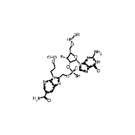 NC(=O)c1cnc2c(c1)nc(COP(=O)(S)O[C@@H]1[C@@H](F)[C@@H](COPS)O[C@H]1n1cnc3c(=O)[nH]c(N)nc31)n2CCOC=O